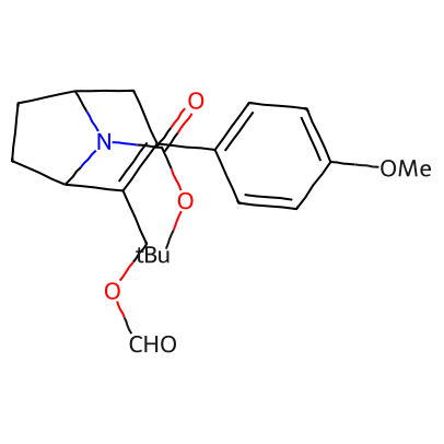 COc1ccc(C2=C(COC=O)C3CCC(C2)N3C(=O)OC(C)(C)C)cc1